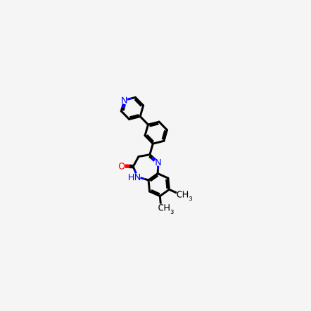 Cc1cc2c(cc1C)NC(=O)CC(c1cccc(-c3ccncc3)c1)=N2